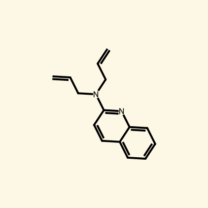 C=CCN(CC=C)c1ccc2ccccc2n1